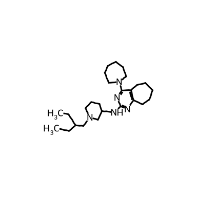 CCC(CC)CN1CCCC(Nc2nc3c(c(N4CCCCCC4)n2)CCCCC3)C1